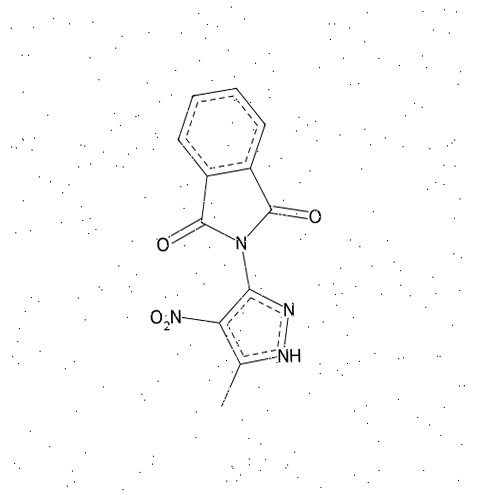 Cc1[nH]nc(N2C(=O)c3ccccc3C2=O)c1[N+](=O)[O-]